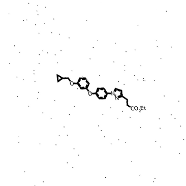 CCOC(=O)CCc1ccn(-c2ccc(Oc3cccc(OCC4CC4)c3)cc2)n1